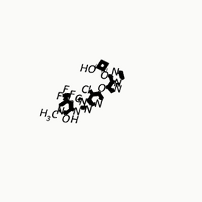 Cn1cc(C(F)(F)F)cc(Nc2nc3ncc(Oc4cnn5ccnc(O[C@@H]6CC[C@@H]6O)c45)c(Cl)c3n2C)c1=O